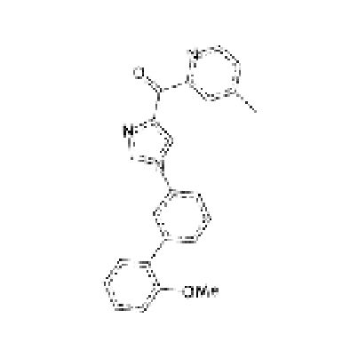 COc1ccccc1-c1cccc(-n2cnc(C(=O)c3cc(C)ccn3)c2)c1